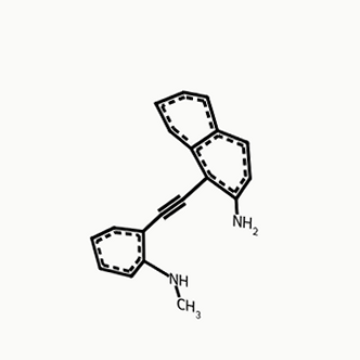 CNc1ccccc1C#Cc1c(N)ccc2ccccc12